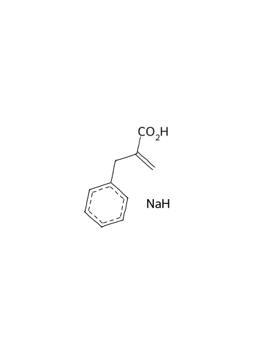 C=C(Cc1ccccc1)C(=O)O.[NaH]